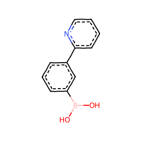 OB(O)c1cccc(-c2ccccn2)c1